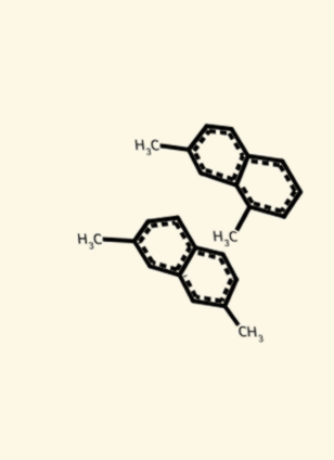 Cc1ccc2ccc(C)cc2c1.Cc1ccc2cccc(C)c2c1